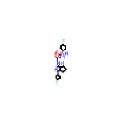 O=C(Nc1ccc(F)cc1)N[C@H](CO)CNc1nnc(-c2ccc(F)cc2)c2ccccc12